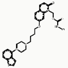 CC(C)NC(=O)OCn1c(=O)ccc2ccc(OCCCCN3CCN(c4cccc5sccc45)CC3)cc21